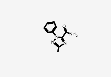 Cc1nc(C(N)=O)n(-c2ccccc2)n1